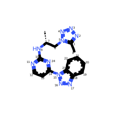 Cc1nnnn1C[C@@H](C)Nc1nccc(-n2nnc3ccccc32)n1